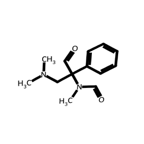 CN(C)CC(C=O)(c1ccccc1)N(C)C=O